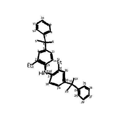 CCc1cc(C(C)(C)c2ccccc2)ccc1Nc1ccc(C(C)(C)c2ccccc2)cc1CC